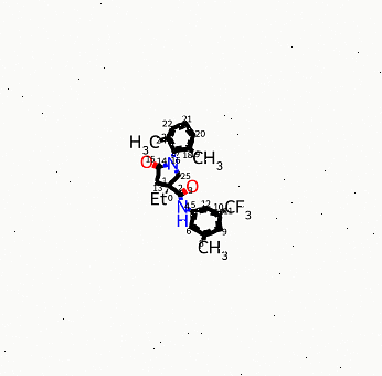 CC[C@]1(C(=O)Nc2cc(C)cc(C(F)(F)F)c2)CC(=O)N(c2c(C)cccc2C)C1